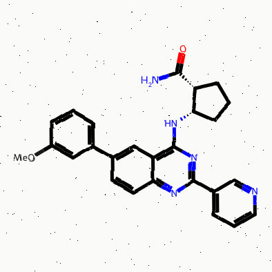 COc1cccc(-c2ccc3nc(-c4cccnc4)nc(N[C@H]4CCC[C@H]4C(N)=O)c3c2)c1